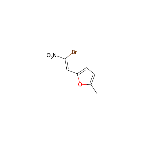 Cc1ccc(C=C(Br)[N+](=O)[O-])o1